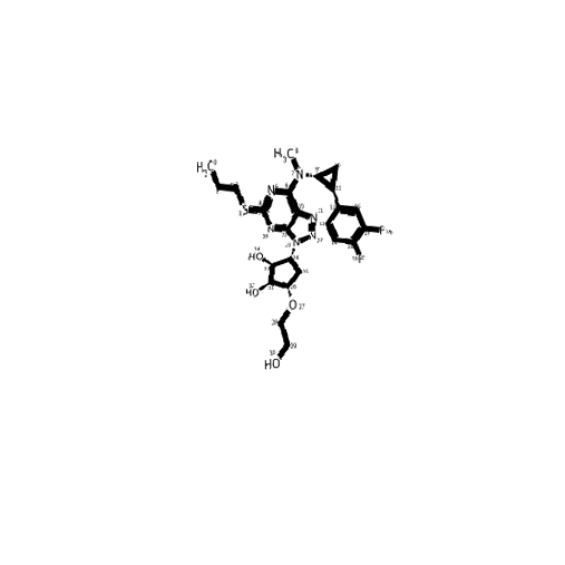 CCCSc1nc(N(C)[C@@H]2C[C@H]2c2ccc(F)c(F)c2)c2nnn([C@@H]3C[C@H](OCCO)[C@@H](O)[C@H]3O)c2n1